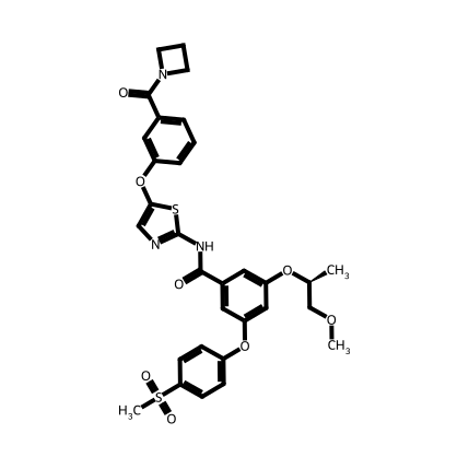 COC[C@H](C)Oc1cc(Oc2ccc(S(C)(=O)=O)cc2)cc(C(=O)Nc2ncc(Oc3cccc(C(=O)N4CCC4)c3)s2)c1